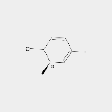 CC1=C[C@@H](C)C(Cl)C=C1